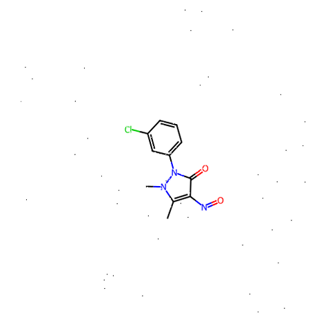 Cc1c(N=O)c(=O)n(-c2cccc(Cl)c2)n1C